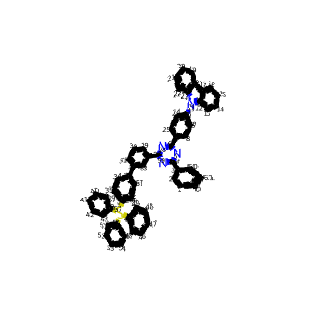 c1ccc(-c2nc(-c3ccc(-n4c5ccccc5c5ccccc54)cc3)nc(-c3cccc(-c4ccc(S(c5ccccc5)(c5ccccc5)c5ccccc5)cc4)c3)n2)cc1